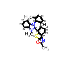 Cc1nc2c(o1)sc1c(-c3n(-c4ccccc4C)c4ccccc4[n+]3C)c(C)ccc12